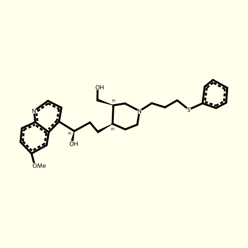 COc1ccc2nccc([C@H](O)CC[C@@H]3CCN(CCCSc4ccccc4)C[C@@H]3CO)c2c1